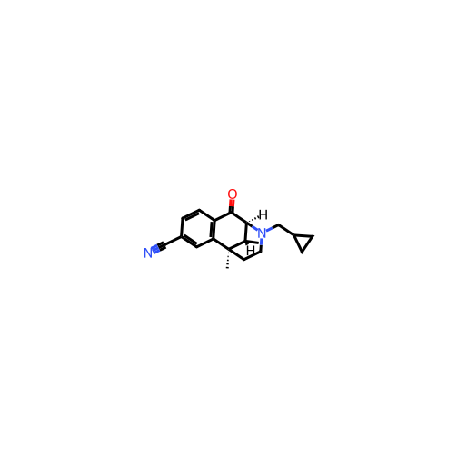 C[C@H]1[C@H]2C(=O)c3ccc(C#N)cc3[C@]1(C)CCN2CC1CC1